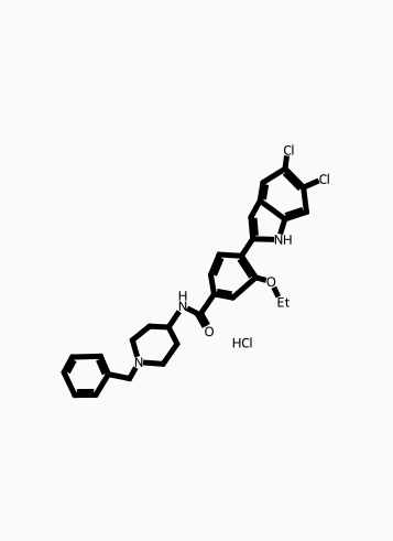 CCOc1cc(C(=O)NC2CCN(Cc3ccccc3)CC2)ccc1-c1cc2cc(Cl)c(Cl)cc2[nH]1.Cl